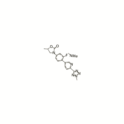 CC1CN(c2ccc(-c3ccc(-c4nnn(C)n4)nc3)c(F)c2)C(=O)O1.CNC